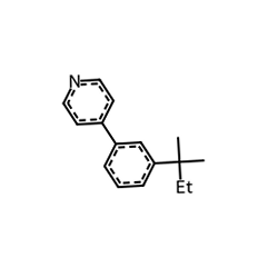 CCC(C)(C)c1cccc(-c2ccncc2)c1